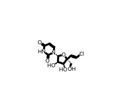 O=c1ccn([C@@H]2O[C@](C=CCl)(CO)[C@@H](O)[C@H]2O)c(=O)[nH]1